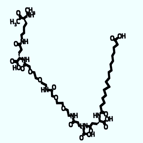 CN[C@@H](CCCCNC(=O)CC[C@H](NC(=O)COCCOCCNC(=O)COCCOCCNC(=O)CC[C@H](NC(=O)CC[C@H](NC(=O)CCCCCCCCCCCCCCCCC(=O)O)C(=O)O)C(=O)O)C(=O)O)C(C)=O